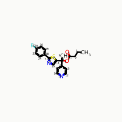 CCCC(=O)OC(C)(c1ccncc1)c1cnc(-c2ccc(F)cc2)s1